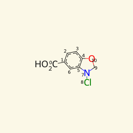 O=C(O)c1ccc2c(c1)N(Cl)CO2